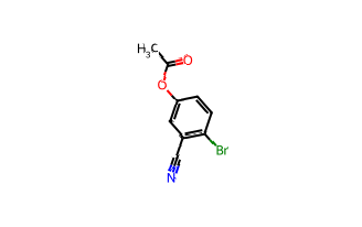 CC(=O)Oc1ccc(Br)c(C#N)c1